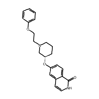 O=c1[nH]ccc2cc(O[C@H]3CCCN(CCOc4ccccc4)C3)ccc12